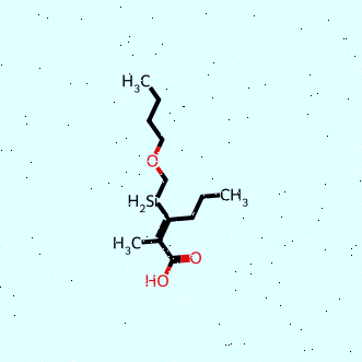 CCCCOC[SiH2]/C(CCC)=C(\C)C(=O)O